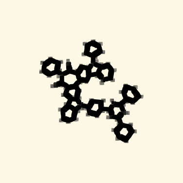 O=c1c2cc3c(cc2c2cc4c(cc2c(=O)n1-c1ccccc1)c1ccccc1n4-c1ccc(-c2nc(-c4ccccc4)nc(-c4ccccc4)n2)cc1)c1ncccc1n3-c1ccccc1